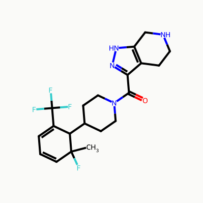 CC1(F)C=CC=C(C(F)(F)F)C1C1CCN(C(=O)c2n[nH]c3c2CCNC3)CC1